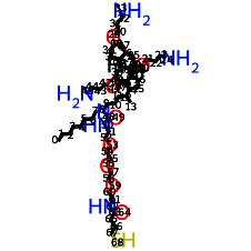 CCCCCCCCN(CCCC(C)C1CC[C@H]2C3[C@H](OCCCN)CC4C[C@H](OCCCN)CC[C@]4(C)[C@H]3C[C@H](OCCCN)[C@]12C)C(=O)NCCOCCOCCOCCNC(=O)CCCS